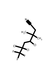 CC(C)(CC#N)C(Cl)CC(Cl)(Cl)C(F)(F)F